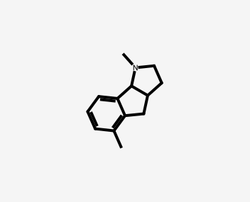 Cc1cccc2c1CC1CCN(C)C21